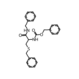 O=C(NC(CSCc1ccccc1)C(=O)NCc1ccccc1)OCc1ccccc1